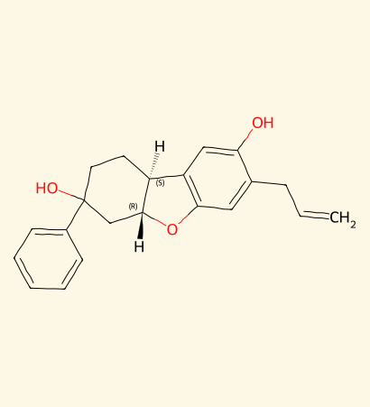 C=CCc1cc2c(cc1O)[C@@H]1CCC(O)(c3ccccc3)C[C@H]1O2